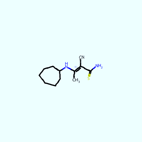 C/C(NC1CCCCCC1)=C(/C#N)C(N)=S